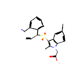 C=CC(c1ccccc1CN)S(=O)(=O)c1c(C)n(CC(=O)O)c2ccc(C)cc12